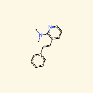 CN(C)c1ncccc1C=Cc1ccccc1